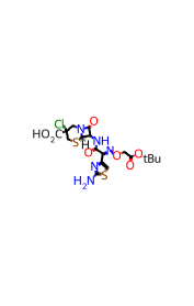 CC(C)(C)OC(=O)CON=C(C(=O)NC1C(=O)N2CC(Cl)(C(=O)O)CS[C@H]12)c1csc(N)n1